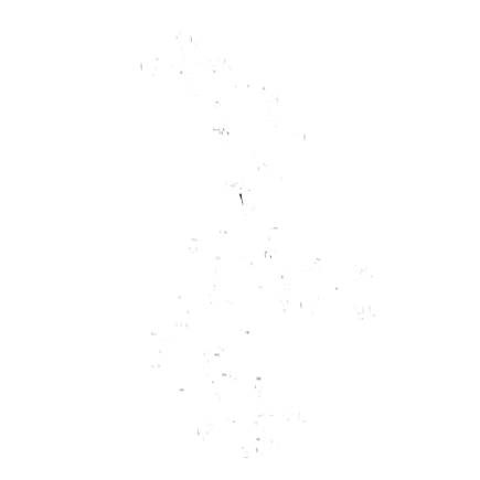 CC(C)[C@@H](NC(=O)OC(C)(C)C)C(=O)N[C@H]1CN(C(=O)OC(C)(C)C)[C@@](CCCCB2OC(C)(C)C(C)(C)O2)(C(=O)OCc2ccccc2)C1